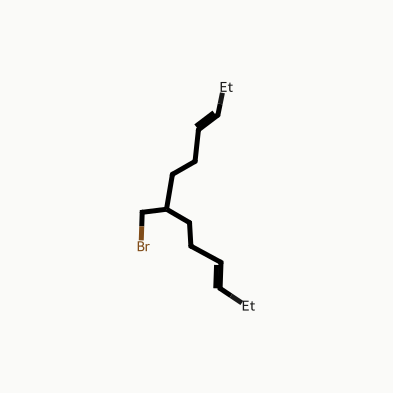 CCC=CCCC(CBr)CCC=CCC